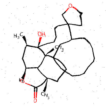 C[C@@H]1C[C@H]2OC(=O)[C@@]3(C)CCC[C@](C)(C23)[C@@]1(O)CCC1(C2CCCCCCCC2)CCOC1